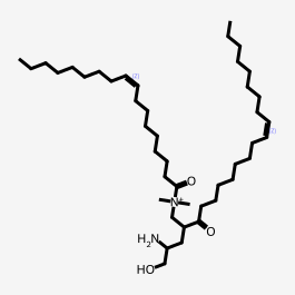 CCCCCCCC/C=C\CCCCCCCC(=O)C(CC(N)CO)C[N+](C)(C)C(=O)CCCCCCC/C=C\CCCCCCCC